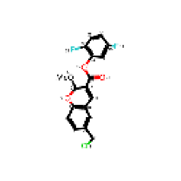 COC1Oc2ccc(CCl)cc2C=C1C(=O)Oc1cc(F)ccc1F